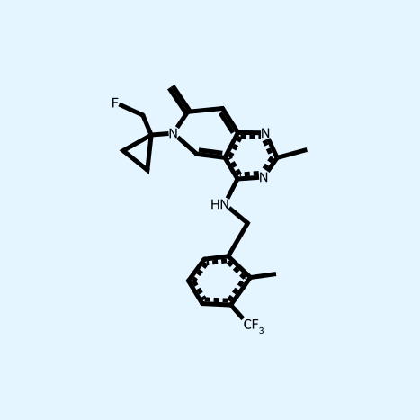 C=C1C=c2nc(C)nc(NCc3cccc(C(F)(F)F)c3C)c2=CN1C1(CF)CC1